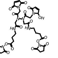 O=C(CN(C(=O)CN1C(=O)C=CC1=O)N(CC(=O)NCCCC(=O)ON1C(=O)CCC1=O)C(=O)CN1C(=O)C=CC1O)NCCCC(=O)ON1C(=O)CCC1=O